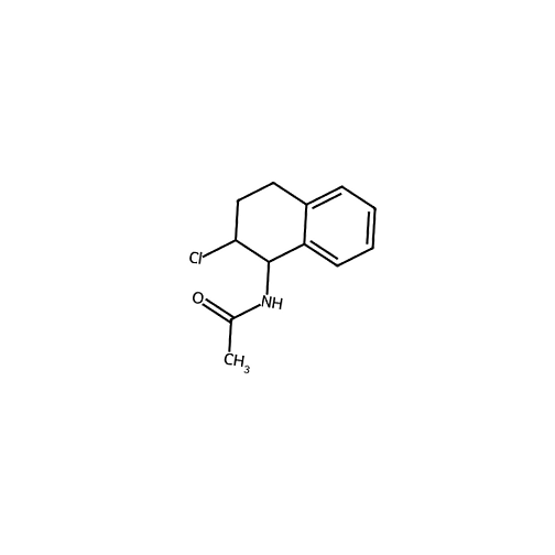 CC(=O)NC1c2ccccc2CCC1Cl